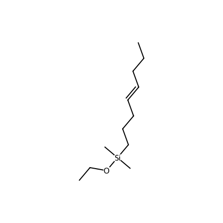 CCCC=CCCC[Si](C)(C)OCC